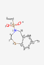 C=CS(=O)(=O)N1CCSc2ccc(C)cc2C1